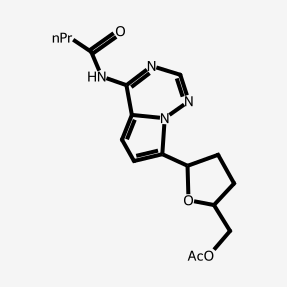 CCCC(=O)Nc1ncnn2c(C3CCC(COC(C)=O)O3)ccc12